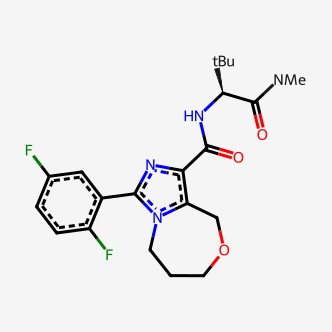 CNC(=O)[C@@H](NC(=O)c1nc(-c2cc(F)ccc2F)n2c1COCCC2)C(C)(C)C